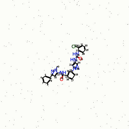 Cn1nc(-c2ccccc2)cc1NC(=O)c1cccc(-n2cc(NC(=O)Nc3ccccc3Cl)cn2)c1